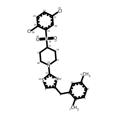 Cc1ccc(C)c(Cc2csc(N3CCC(S(=O)(=O)c4cc(Cl)ccc4Cl)CC3)n2)c1